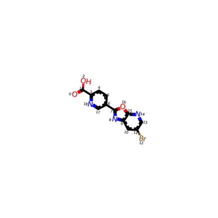 O=C(O)c1ccc(-c2nc3cc(Br)cnc3o2)cn1